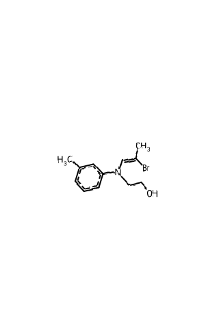 CC(Br)=CN(CCO)c1cccc(C)c1